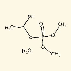 COP(=O)(OC)OC(C)O.O